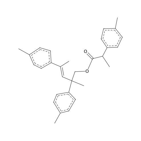 CC(=CC(C)(COC(=O)C(C)c1ccc(C)cc1)c1ccc(C)cc1)c1ccc(C)cc1